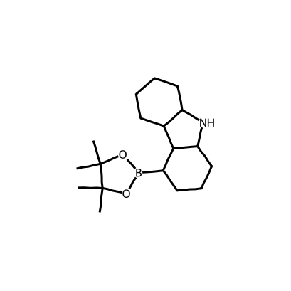 CC1(C)OB(C2CCCC3NC4CCCCC4C32)OC1(C)C